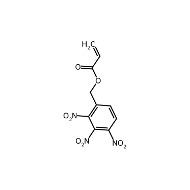 C=CC(=O)OCc1ccc([N+](=O)[O-])c([N+](=O)[O-])c1[N+](=O)[O-]